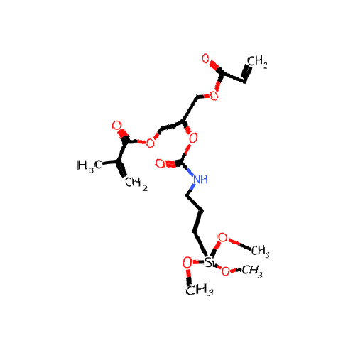 C=CC(=O)OCC(COC(=O)C(=C)C)OC(=O)NCCC[Si](OC)(OC)OC